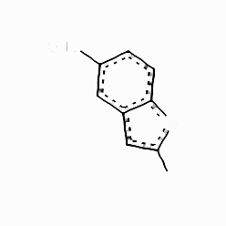 O=Cc1ccc2oc(F)cc2c1